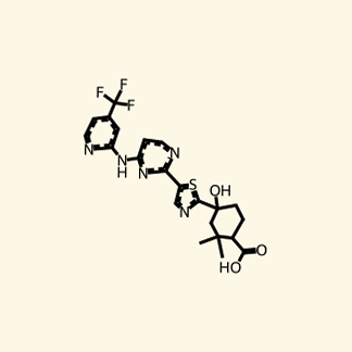 CC1(C)CC(O)(c2ncc(-c3nccc(Nc4cc(C(F)(F)F)ccn4)n3)s2)CCC1C(=O)O